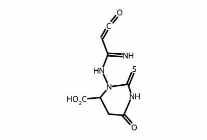 N=C(C=C=O)NN1C(=S)NC(=O)CC1C(=O)O